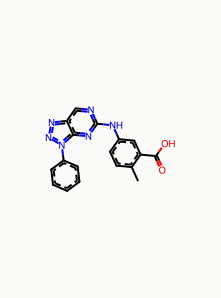 Cc1ccc(Nc2ncc3nnn(-c4ccccc4)c3n2)cc1C(=O)O